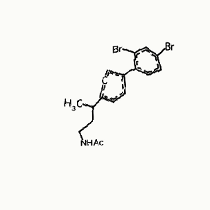 CC(=O)NCCC(C)c1ccc(-c2ccc(Br)cc2Br)cc1